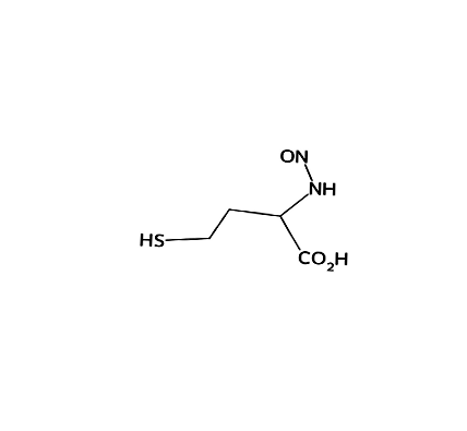 O=NNC(CCS)C(=O)O